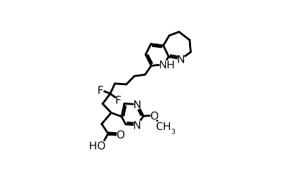 COc1ncc(C(CC(=O)O)CC(F)(F)CCCCC2=CC=C3CCCCN=C3N2)cn1